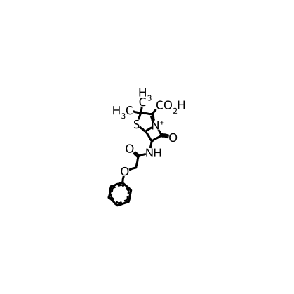 CC1(C)SC2C(NC(=O)COc3ccccc3)C(=O)[N+]2=C1C(=O)O